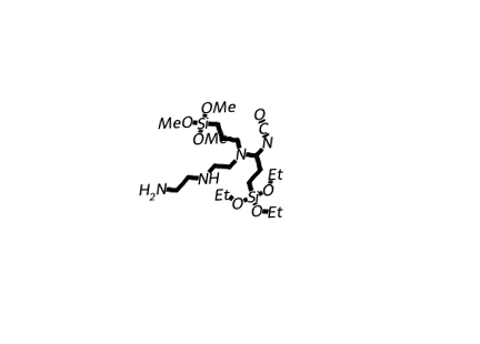 CCO[Si](CCC(N=C=O)N(CCC[Si](OC)(OC)OC)CCNCCN)(OCC)OCC